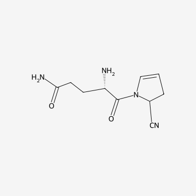 N#CC1CC=CN1C(=O)[C@@H](N)CCC(N)=O